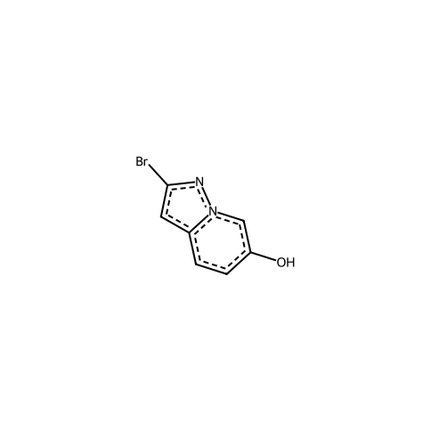 Oc1ccc2cc(Br)nn2c1